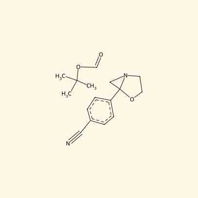 CC(C)(C)OC=O.N#Cc1ccc(C23CN2CCO3)cc1